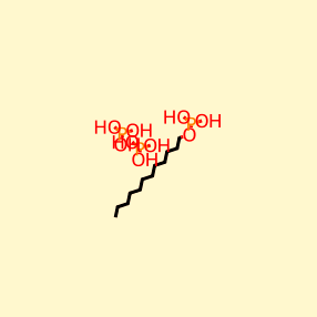 CCCCCCCCCCCCOP(O)O.OP(O)O.OP(O)O